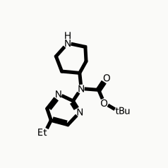 CCc1cnc(N(C(=O)OC(C)(C)C)C2CCNCC2)nc1